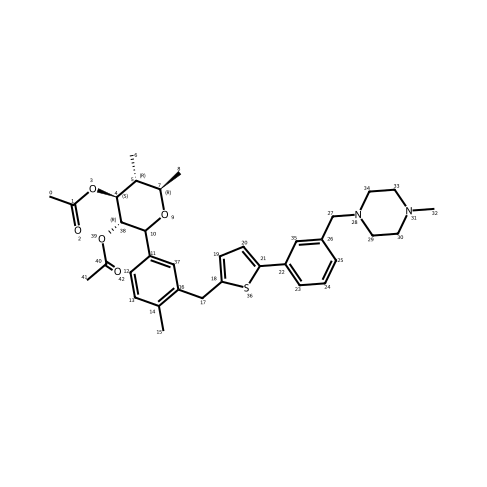 CC(=O)O[C@H]1[C@H](C)[C@@H](C)OC(c2ccc(C)c(Cc3ccc(-c4cccc(CN5CCN(C)CC5)c4)s3)c2)[C@@H]1OC(C)=O